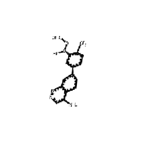 Nc1cnnc2cc(-c3ccc(C(F)(F)F)c(B(O)OC=O)c3)ccc12